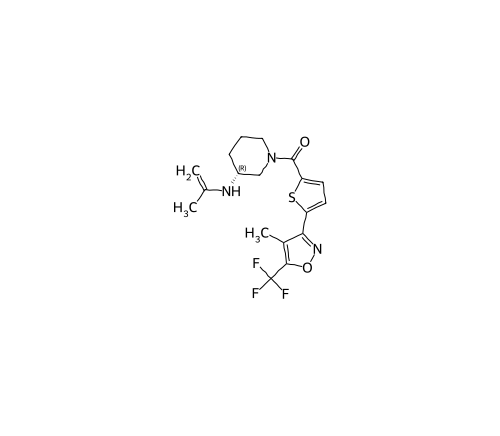 C=C(C)N[C@@H]1CCCN(C(=O)c2ccc(-c3noc(C(F)(F)F)c3C)s2)C1